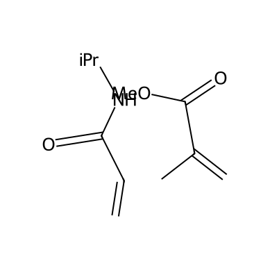 C=C(C)C(=O)OC.C=CC(=O)NC(C)C